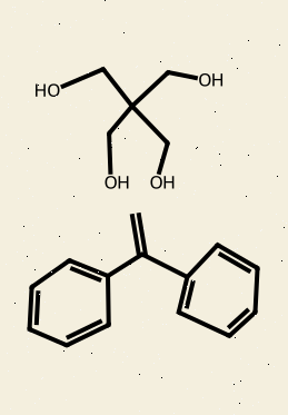 C=C(c1ccccc1)c1ccccc1.OCC(CO)(CO)CO